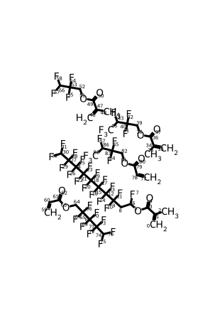 C=C(C)C(=O)OC(F)CC(F)(F)C(F)(F)C(F)(F)C(F)(F)C(F)(F)C(F)(F)C(F)(F)C(F)F.C=C(C)C(=O)OCC(F)(F)C(F)C(F)(F)F.C=C(C)C(=O)OCC(F)(F)C(F)F.C=CC(=O)OCC(F)(F)C(F)(F)C(F)(F)C(F)F.C=CC(=O)OCC(F)(F)C(F)C(F)(F)F